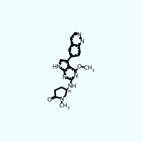 COc1nc(N[C@@H]2CCC(=O)N(C)C2)nc2[nH]cc(-c3ccc4nnccc4c3)c12